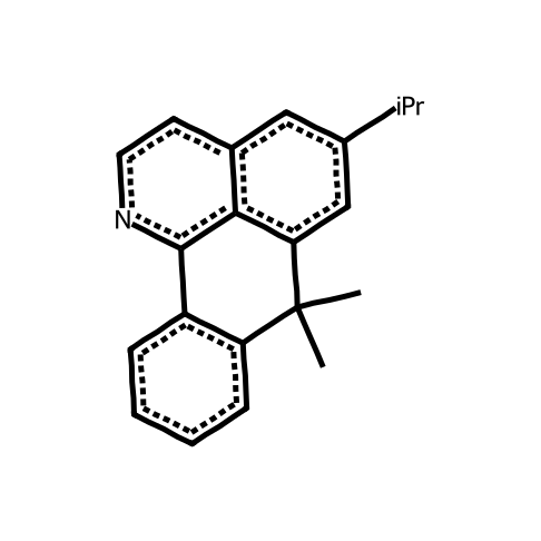 CC(C)c1cc2c3c(nccc3c1)-c1ccccc1C2(C)C